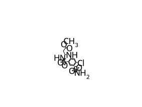 COC(=O)CC1Nc2cc(Cl)c(S(N)(=O)=O)cc2S(=O)(=O)N1